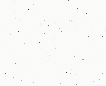 CC(C)(C)C1=NC(C(=O)O)(C(C)(C)C)N=C1C(C)(C)C.CC(C)(C)C1=NC(C(=O)O)(C(C)(C)C)N=C1C(C)(C)C.Cl.[Co]